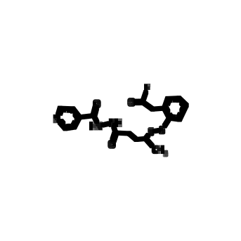 CC(CCC(=O)NNC(=O)c1ccncc1)SSc1ccccc1CC(=O)F